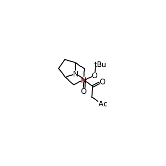 CC(=O)CC(=O)N1CC2CCC(C1)N2C(=O)OC(C)(C)C